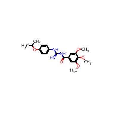 COc1cc(C(=O)NC(=N)Nc2ccc(OC(C)C)cc2)cc(OC)c1OC